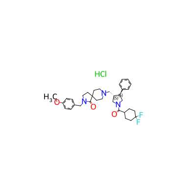 COc1ccc(CN2CCC3(CCN(C[C@H]4CN(C(=O)C5CCC(F)(F)CC5)C[C@@H]4c4ccccc4)CC3)C2=O)cc1.Cl